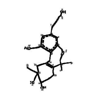 CC1(C)Oc2cc(CCO)cc(O)c2C2=C1CC(O)C(C)(O)C2